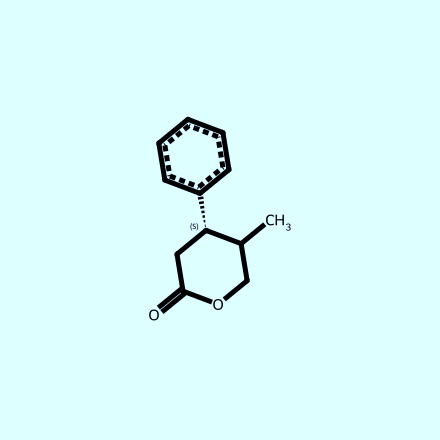 CC1COC(=O)C[C@@H]1c1ccccc1